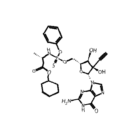 C#C[C@@]1(O)[C@H](O)[C@@H](COP(=S)(N[C@@H](C)C(=O)OC2CCCCC2)Oc2ccccc2)O[C@H]1n1cnc2c(=O)[nH]c(N)nc21